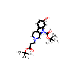 CC(C)(C)OC(=O)CCN1CCc2c(n(C(=O)OC(C)(C)C)c3cc(O)ccc23)C1